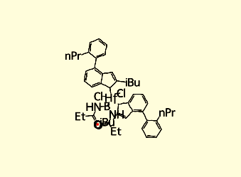 CCCc1ccccc1-c1cccc2c1C=C(C(C)CC)[CH]2[Hf]([Cl])([Cl])([B](NC(=O)CC)NC(=O)CC)[CH]1C(C(C)CC)=Cc2c(-c3ccccc3CCC)cccc21